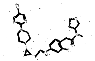 CN(C(=O)Cc1ccc(OCC[C@@H]2C[C@@H]2C2CCN(c3ncc(Cl)cn3)CC2)cc1F)C1CCOC1